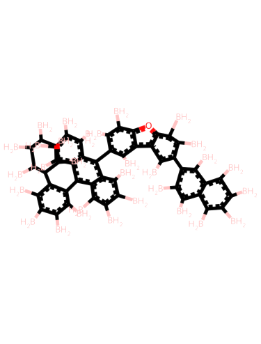 Bc1c(B)c(B)c(C2C(B)C(B)C(B)C(B)C2B)c(-c2c3c(B)c(B)c(B)c(B)c3c(-c3c(B)c(B)c4oc5c(B)c(B)c(-c6c(B)c(B)c7c(B)c(B)c(B)c(B)c7c6B)c(B)c5c4c3B)c3c(B)c(B)c(B)c(B)c23)c1B